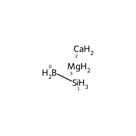 B[SiH3].[CaH2].[MgH2]